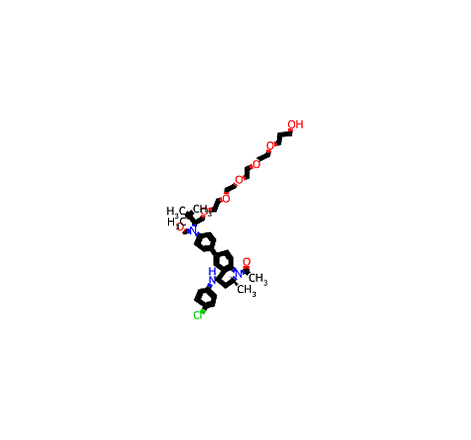 CC(=O)N1c2ccc(-c3ccc(N(C=O)C(COCCOCCOCCOCCOCCCO)C(C)(C)C)cc3)cc2[C@H](Nc2ccc(Cl)cc2)C[C@@H]1C